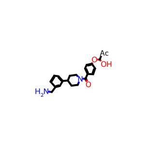 CC(=O)C(O)Oc1ccc(C(=O)N2CCC(c3cccc(CN)c3)CC2)cc1